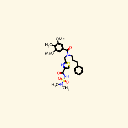 COc1cc(C(=O)N(CCCc2ccccc2)Cc2nc(C(=O)NS(=O)(=O)N(C)C)cs2)cc(OC)c1C